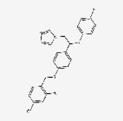 Fc1ccc(SC(Cn2ccnc2)c2ccc(SCc3ccc(Cl)cc3Cl)cc2)cc1